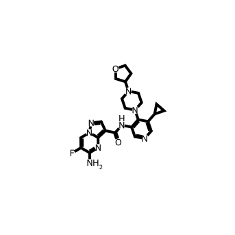 Nc1nc2c(C(=O)Nc3cncc(C4CC4)c3N3CCN(C4CCOC4)CC3)cnn2cc1F